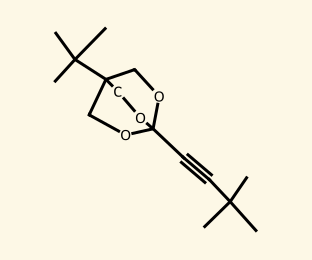 CC(C)(C)C#CC12OCC(C(C)(C)C)(CO1)CO2